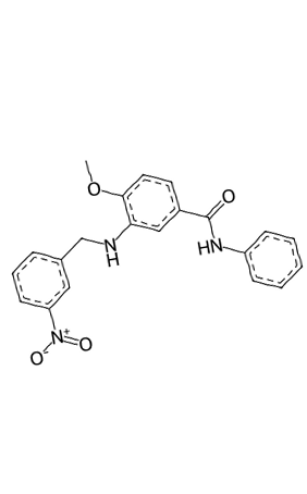 COc1ccc(C(=O)Nc2ccccc2)cc1NCc1cccc([N+](=O)[O-])c1